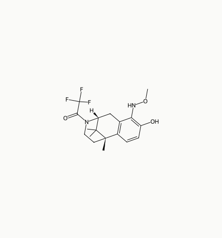 CONc1c(O)ccc2c1C[C@H]1N(C(=O)C(F)(F)F)CC[C@]2(C)C1(C)C